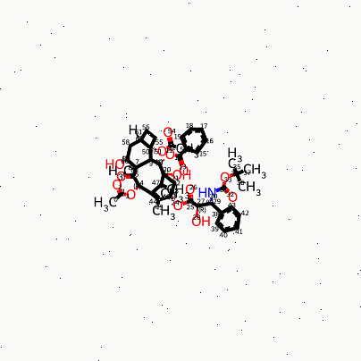 CC(=O)O[C@H]1C(=O)[C@@]2(C)C([C@H](OC(=O)c3ccccc3)[C@]3(O)C[C@H](OC(=O)[C@H](O)[C@@H](NC(=O)OC(C)(C)C)c4ccccc4)C(C)=C1C3(C)C)[C@]1(OC(C)=O)CC[C@@H]1C[C@@H]2O